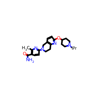 Cc1nc(N2CCc3nc(OC4CCN(C(C)C)CC4)ccc3C2)ccc1C(N)=O